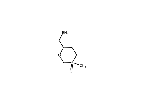 BCC1CCP(C)(=O)CO1